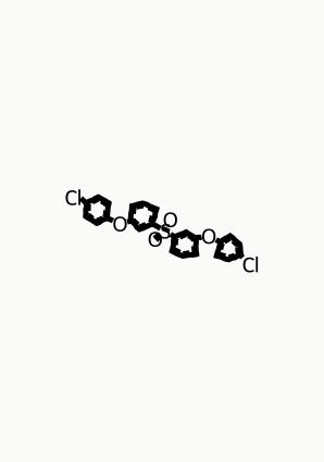 O=S(=O)(c1cccc(Oc2ccc(Cl)cc2)c1)c1cccc(Oc2ccc(Cl)cc2)c1